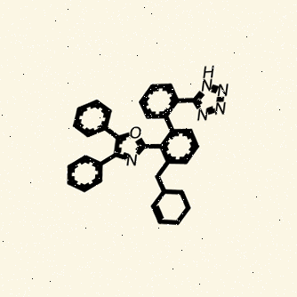 C1=CC(Cc2cccc(-c3ccccc3-c3nnn[nH]3)c2-c2nc(-c3ccccc3)c(-c3ccccc3)o2)CCC1